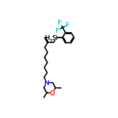 C=C(CCCCCCCN1CC(C)OC(C)C1)C[SiH2]c1ccccc1C(F)(F)F